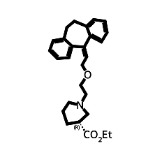 CCOC(=O)[C@@H]1CCCN(CCOCC=C2c3ccccc3CCc3ccccc32)C1